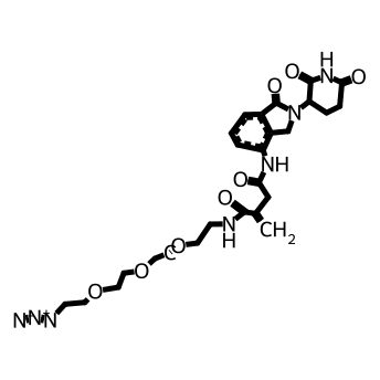 C=C(CC(=O)Nc1cccc2c1CN(C1CCC(=O)NC1=O)C2=O)C(=O)NCCOCCOCCOCCN=[N+]=[N-]